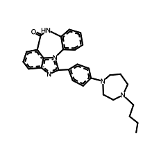 CCCCN1CCCN(c2ccc(-c3nc4cccc5c4n3-c3ccccc3NC5=O)cc2)CC1